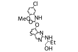 CCC(CO)Nc1ncc2scc(OC(=O)Nc3cc(Cl)ccc3OC)c2n1